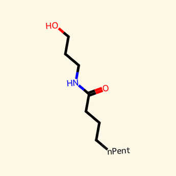 CCCCCCCCC(=O)NCCCO